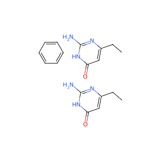 CCc1cc(=O)[nH]c(N)n1.CCc1cc(=O)[nH]c(N)n1.c1ccccc1